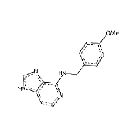 COc1ccc(CNc2nccc3[nH]cnc23)cc1